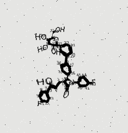 O=C1[C@@H](CC[C@@H](O)c2ccc(F)cc2)[C@@H](c2ccc(-c3cccc([C@@H]4O[C@@H](CO)[C@H](O)[C@@H](O)[C@@H]4O)c3)cc2)N1c1ccc(F)cc1